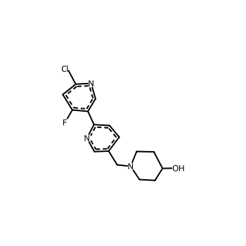 OC1CCN(Cc2ccc(-c3cnc(Cl)cc3F)nc2)CC1